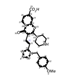 COc1ccc(Cn2nnnc2/C=C/c2c(N3CCNCC3)nc3cc(C(=O)O)ccn3c2=O)cc1